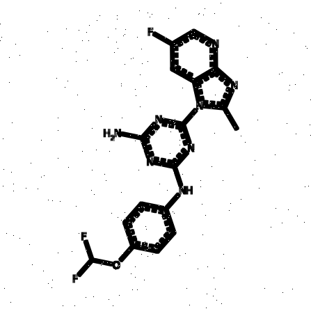 Cc1nc2ncc(F)cc2n1-c1nc(N)nc(Nc2ccc(OC(F)F)cc2)n1